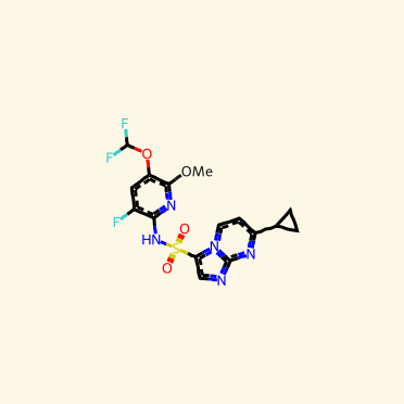 COc1nc(NS(=O)(=O)c2cnc3nc(C4CC4)ccn23)c(F)cc1OC(F)F